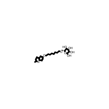 Cc1ccc2cc(OCCCCCCCCOC[C@H]3OC(O)[C@H](O)[C@@H](O)[C@@H]3O)ccc2n1